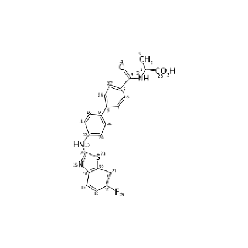 C[C@H](NC(=O)c1ccc(-c2ccc(Nc3nc4ccc(F)cc4s3)cc2)cc1)C(=O)O